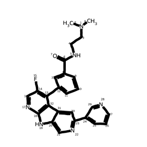 CN(C)CCNC(=O)c1cccc(-c2c(F)cnc3[nH]c4cnc(-c5cccnc5)cc4c23)c1